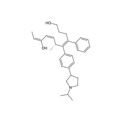 C/C=C(O)\C=C/[C@@H](C)/C(=C(\CCCO)c1ccccc1)c1ccc(C2CCN(C(C)C)C2)cc1